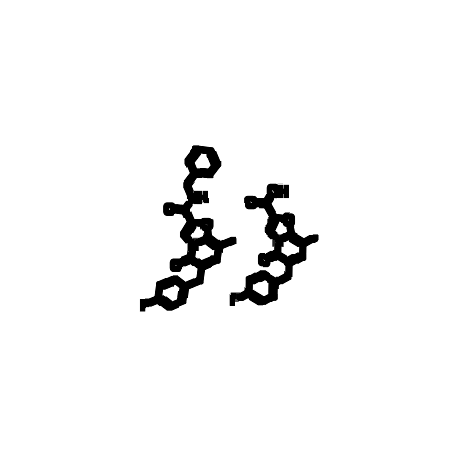 Cc1cc(Cc2ccc(F)cc2)c(=O)n2cc(C(=O)NCc3ccccc3)oc12.Cc1cc(Cc2ccc(F)cc2)c(=O)n2cc(C(=O)O)oc12